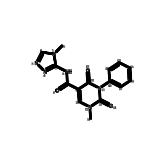 Cn1cnnc1NC(=O)c1cn(C)c(=O)n(-c2ccccc2)c1=O